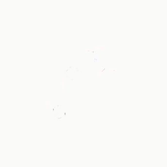 CC(C)CC(C(=O)O)N(CCc1ccc(OCC2COc3ccc(F)cc32)cc1)C(=O)O